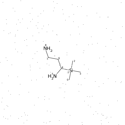 C[Si](C)(C)C(N)CCN